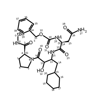 CC(C)(C)NC(=O)[C@@H]1CCCN1C(=O)C(O)C(CC1CCCCC1)NC(=O)[C@H](CC(N)=O)NC(=O)OCc1ccccc1